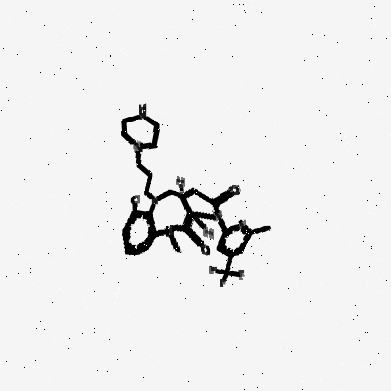 Cc1cc(C(F)(F)F)cc(N2C(=O)C[C@@H]3CN(CCCN4CCNCC4)c4c(Cl)cccc4N(C)C(=O)[C@H]32)n1